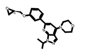 CC(C)n1ncc2c(N3CCOCC3)cc(-c3cccc(OC[C@H]4CO4)c3)nc21